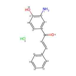 Cl.Nc1cc(C(=O)C=Cc2ccccc2)ccc1O